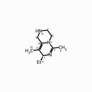 CC[C@@H]1N=C(C)N2CCNCC2=C1C